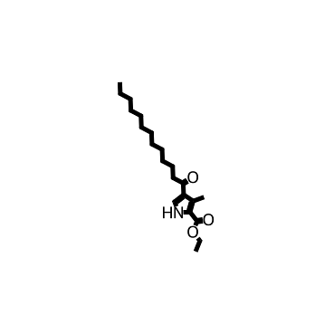 CCCCCCCCCCCCC(=O)c1c[nH]c(C(=O)OCC)c1C